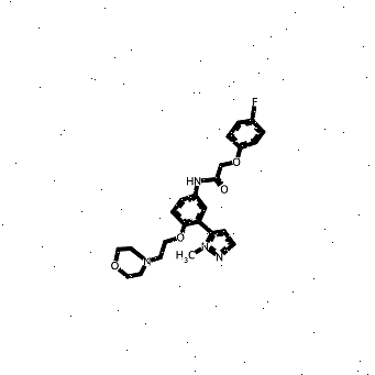 Cn1nccc1-c1cc(NC(=O)COc2ccc(F)cc2)ccc1OCCN1CCOCC1